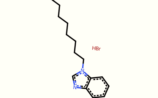 Br.CCCCCCCCn1cnc2ccccc21